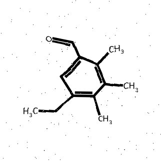 CCc1cc([C]=O)c(C)c(C)c1C